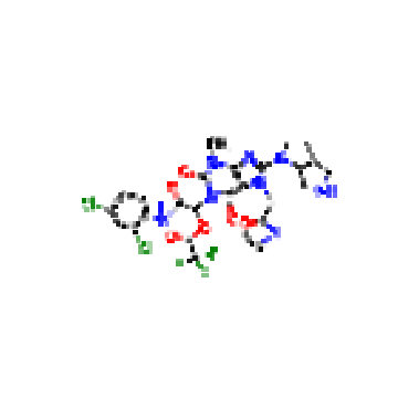 Cn1c(=O)n(C(OC(=O)C(F)(F)F)C(=O)Nc2ccc(Cl)cc2Cl)c(=O)c2c1nc(N1CCC3CNCC31)n2Cc1ncco1